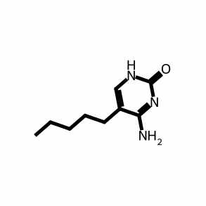 CCCCCc1c[nH]c(=O)nc1N